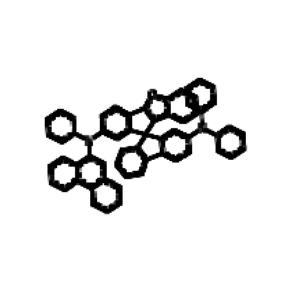 c1ccc(N(c2ccccc2)c2ccc3c(c2)C2(c4ccccc4-3)c3cc(N(c4ccccc4)c4cc5ccccc5c5ccccc45)ccc3-c3oc4ccccc4c32)cc1